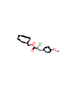 COc1ccc(C[C@H](Cl)C(=O)OCc2ccccc2)cc1